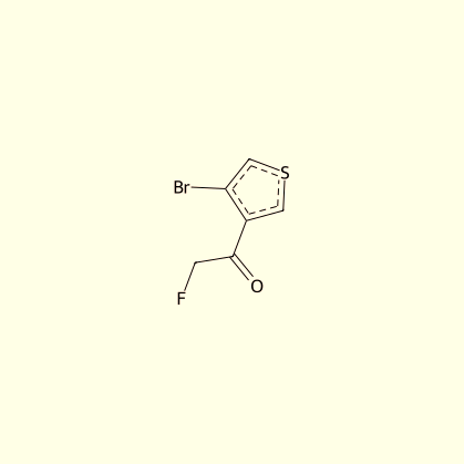 O=C(CF)c1cscc1Br